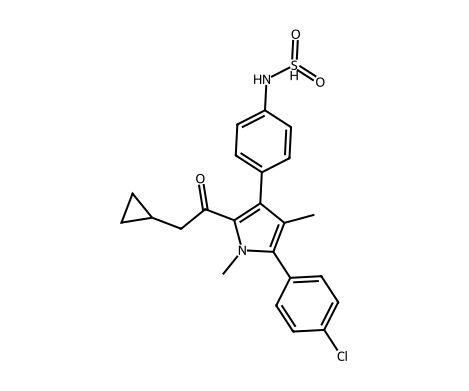 Cc1c(-c2ccc(N[SH](=O)=O)cc2)c(C(=O)CC2CC2)n(C)c1-c1ccc(Cl)cc1